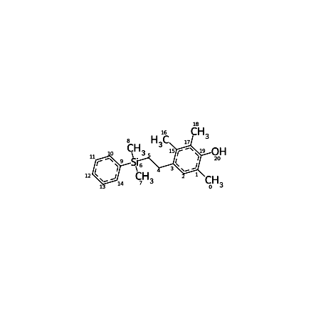 Cc1cc(CC[Si](C)(C)c2ccccc2)c(C)c(C)c1O